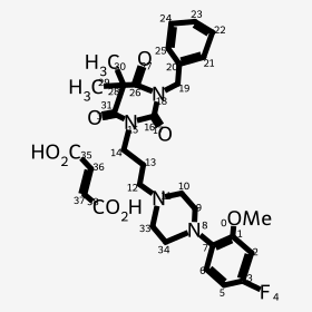 COc1cc(F)ccc1N1CCN(CCCN2C(=O)N(Cc3ccccc3)C(=O)C(C)(C)C2=O)CC1.O=C(O)C=CC(=O)O